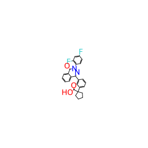 O=C(O)C1(c2cccc(-c3nn(-c4ccc(F)cc4F)c(=O)c4ccccc34)c2)CCCC1